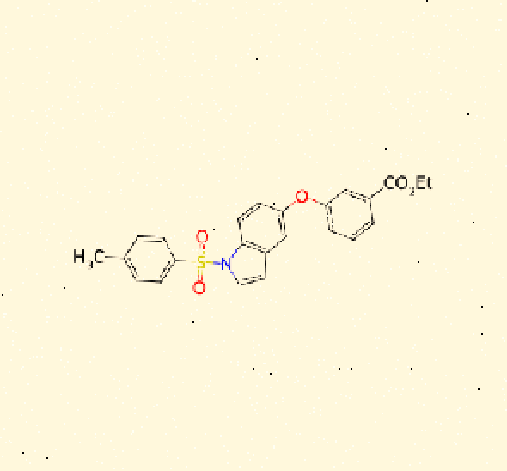 CCOC(=O)c1cccc(Oc2ccc3c(ccn3S(=O)(=O)c3ccc(C)cc3)c2)c1